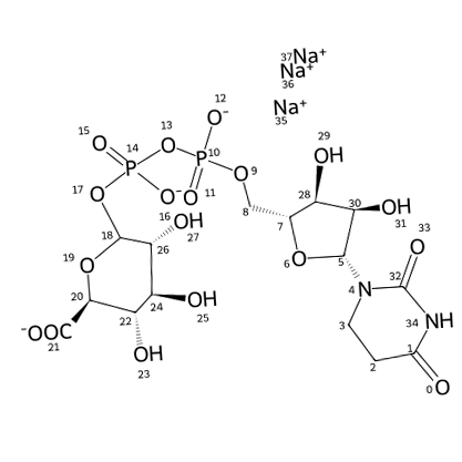 O=C1CCN([C@@H]2O[C@H](COP(=O)([O-])OP(=O)([O-])OC3O[C@H](C(=O)[O-])[C@@H](O)[C@H](O)[C@H]3O)[C@@H](O)[C@H]2O)C(=O)N1.[Na+].[Na+].[Na+]